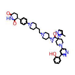 Cc1ccnn1C1(C(=O)N(C)C2CCN(CCC3CCN(c4ccc([C@@H]5CCC(=O)NC5=O)cc4)CC3)CC2)CCN(c2cnnc(-c3ccccc3O)c2)CC1